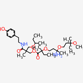 CCC(C)OCC(C)(COC(=O)C(C)(CC)OCCC(C)(N)OCCC(C)(C)OC)C(=O)NCCc1ccc(O)cc1